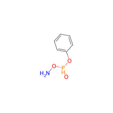 NO[PH](=O)Oc1ccccc1